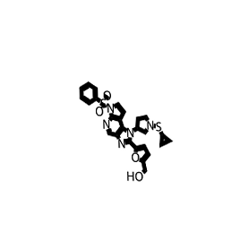 O=S(=O)(c1ccccc1)n1ccc2c1ncc1nc(-c3ccc(CO)o3)n(C3CCN(SC4CC4)C3)c12